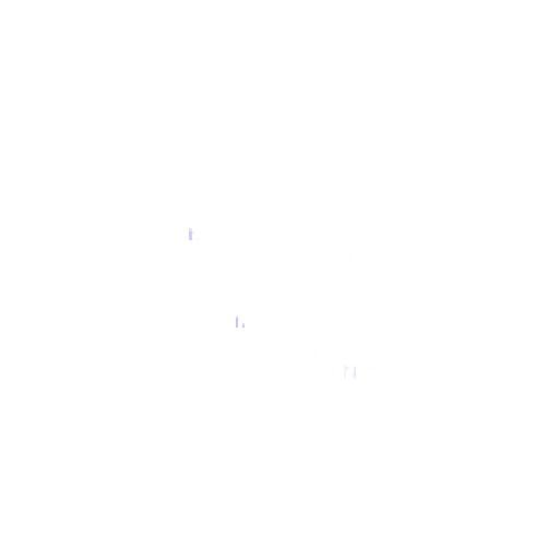 c1cc(-c2ccc(-c3ccc(-n4c5ccccc5c5ccccc54)cc3)nc2)cc(-c2nc3ccccc3c3c4c(ccc23)C2(c3ccccc3-c3ccccc32)c2ccccc2-4)c1